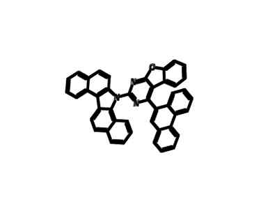 c1ccc2c(c1)cc(-c1nc(-n3c4ccc5ccccc5c4c4ccc5ccccc5c43)nc3oc4ccccc4c13)c1ccccc12